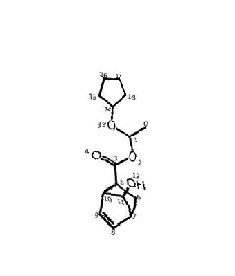 CC(OC(=O)C1CC2C=CC1C2O)OC1CCCC1